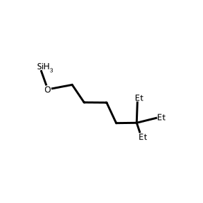 CCC(CC)(CC)CCCCO[SiH3]